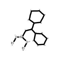 CCO[SiH](CC(C1CCCCC1)C1CCCCC1)OCC